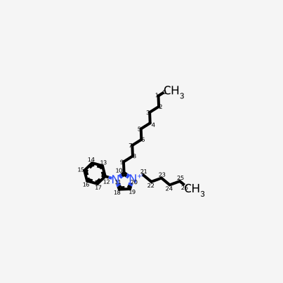 CCCCCCCCCCc1n(-c2ccccc2)cc[n+]1CCCCCC